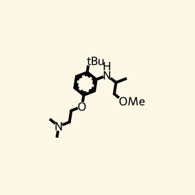 COCC(C)Nc1cc(OCCN(C)C)ccc1C(C)(C)C